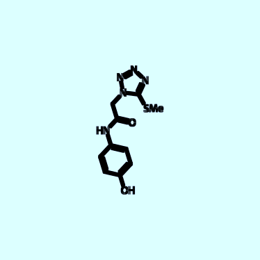 [CH2]Sc1nnnn1CC(=O)Nc1ccc(O)cc1